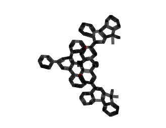 CC1(C)c2ccccc2-c2c1cc(-c1ccc3c(c1)Oc1cc(-c4cc5c(c6ccccc46)-c4ccccc4C5(C)C)ccc1N3c1c(-c3ccccc3)cc(-c3ccccc3)cc1-c1ccccc1)c1ccccc21